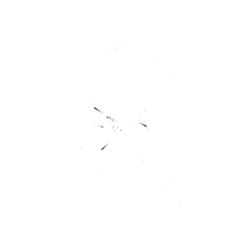 CC[C@]12C[C@@]34C=C(C1=O)[C@]2(OC)[C@@H]1Oc2c(O)ccc5c2[C@@]13CCN(CC1CC1)[C@@H]4C5